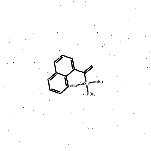 C=[C](c1cccc2ccccc12)[Sn]([CH2]CCC)([CH2]CCC)[CH2]CCC